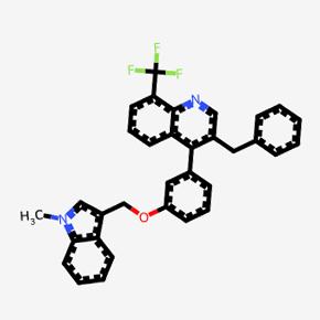 Cn1cc(COc2cccc(-c3c(Cc4ccccc4)cnc4c(C(F)(F)F)cccc34)c2)c2ccccc21